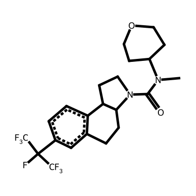 CN(C(=O)N1CCC2c3ccc(C(F)(C(F)(F)F)C(F)(F)F)cc3CCC21)C1CCOCC1